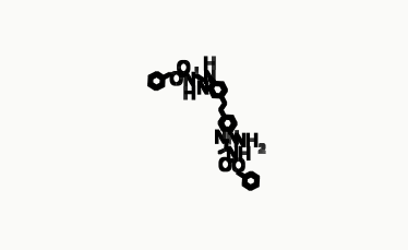 C[C@H](NC(=O)OCc1ccccc1)c1nc2cc(CCc3ccc4c(c3)nc([C@H](C)NC(=O)OCc3ccccc3)n4N)ccc2[nH]1